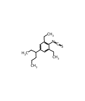 CCCC(CC)c1cc(CC)c(N=C=S)c(CC)c1